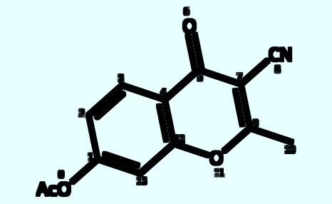 CC(=O)Oc1ccc2c(=O)c(C#N)c(C)oc2c1